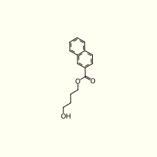 O=C(OCCCCO)c1ccc2ccccc2c1